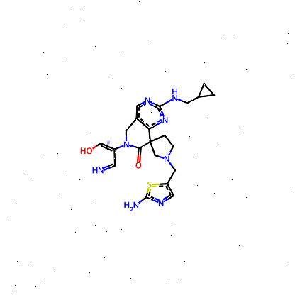 N=C/C(=C\O)N1Cc2cnc(NCC3CC3)nc2C2(CCN(Cc3cnc(N)s3)C2)C1=O